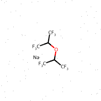 FC(F)(F)C(OC(C(F)(F)F)C(F)(F)F)C(F)(F)F.[Na]